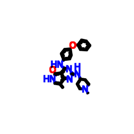 Cc1c[nH]c(=O)c2c(Nc3ccc(Oc4ccccc4)cc3)nc(NC3CCN(C)CC3)nc12